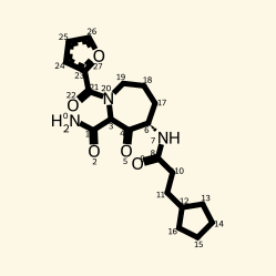 NC(=O)C1C(=O)[C@@H](NC(=O)[CH]CC2CCCC2)CCCN1C(=O)c1ccco1